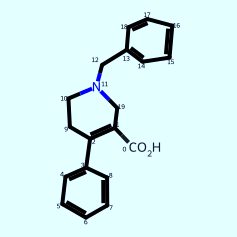 O=C(O)C1=C(c2ccccc2)CCN(Cc2ccccc2)C1